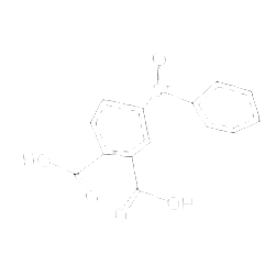 O=C(O)c1ccc([S+]([O-])c2ccccc2)cc1C(=O)O